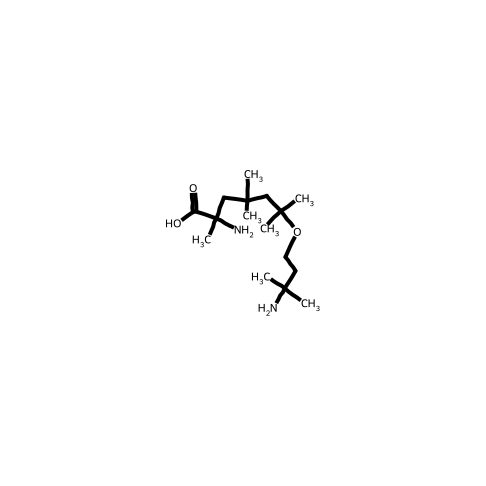 CC(C)(N)CCOC(C)(C)CC(C)(C)CC(C)(N)C(=O)O